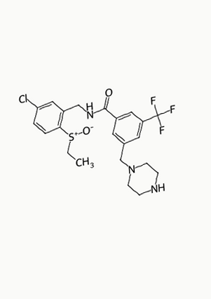 CC[S+]([O-])c1ccc(Cl)cc1CNC(=O)c1cc(CN2CCNCC2)cc(C(F)(F)F)c1